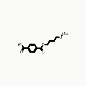 CC(C)C(=O)c1ccc(C(=O)OCCCCOC(C)(C)C)cc1